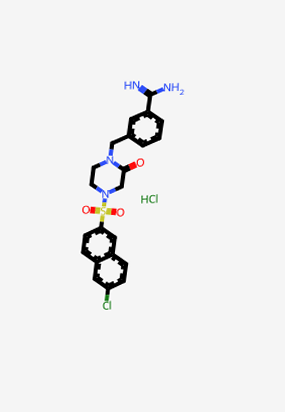 Cl.N=C(N)c1cccc(CN2CCN(S(=O)(=O)c3ccc4cc(Cl)ccc4c3)CC2=O)c1